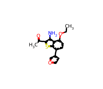 CCOc1ccc(-c2ccoc2)c2sc(C(C)=O)c(N)c12